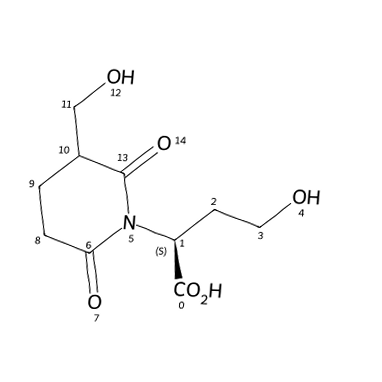 O=C(O)[C@H](CCO)N1C(=O)CCC(CO)C1=O